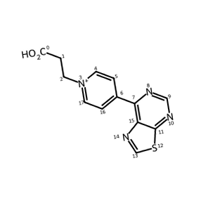 O=C(O)CC[n+]1ccc(-c2ncnc3scnc23)cc1